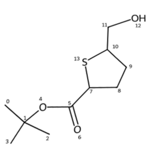 CC(C)(C)OC(=O)C1CCC(CO)S1